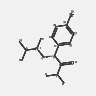 CC(C)C(=O)[C@H](CN(C)C(C)C)c1ccc(Br)cc1